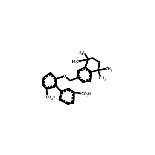 CC1(C)CCC(C)(C)c2cc(COc3cccc(C(=O)O)c3-c3cccc(C(=O)O)c3)ccc21